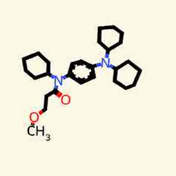 COCCC(=O)N(c1ccc(N(C2CCCCC2)C2CCCCC2)cc1)C1CCCCC1